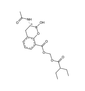 CCC(CC)C(=O)OCOC(=O)c1cccc2c1OB(O)[C@@H](NC(C)=O)C2